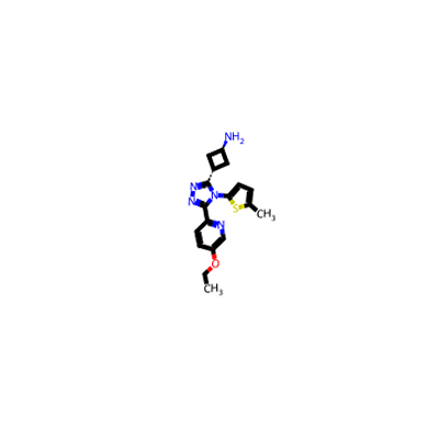 CCOc1ccc(-c2nnc([C@H]3C[C@H](N)C3)n2-c2ccc(C)s2)nc1